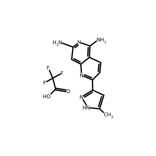 Cc1cc(-c2ccc3c(N)nc(N)cc3n2)n[nH]1.O=C(O)C(F)(F)F